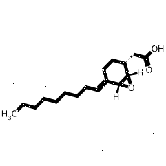 CCCCCCCC/C=C1\CC[C@H](CC(=O)O)[C@@H]2O[C@H]12